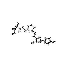 CCc1oc(-c2ccc(C(C)C)cc2)nc1COC1CCCC(CCC2SC(=O)NC2=O)C1